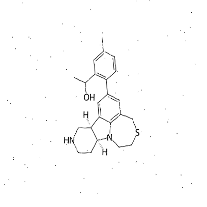 Cc1ccc(-c2cc3c4c(c2)[C@@H]2CNCC[C@@H]2N4CCSC3)c(C(C)O)c1